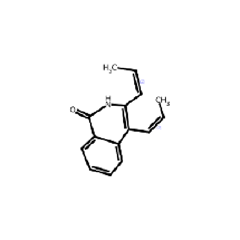 C/C=C\c1[nH]c(=O)c2ccccc2c1/C=C\C